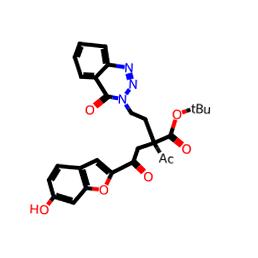 CC(=O)C(CCn1nnc2ccccc2c1=O)(CC(=O)c1cc2ccc(O)cc2o1)C(=O)OC(C)(C)C